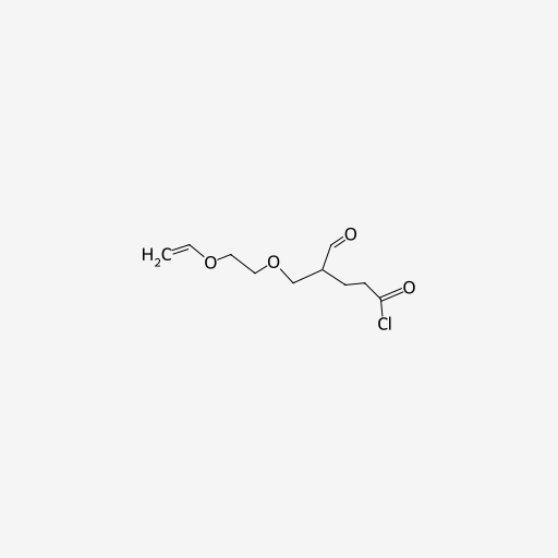 C=COCCOCC(C=O)CCC(=O)Cl